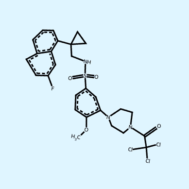 COc1ccc(S(=O)(=O)NCC2(c3cccc4ccc(F)cc34)CC2)cc1N1CCN(C(=O)C(Cl)(Cl)Cl)CC1